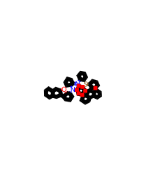 c1ccc(N(c2ccccc2)c2ccccc2N(c2ccc3c(c2)Sc2ccccc2C32c3ccccc3-c3ccccc32)c2cccc3c2oc2cc4ccccc4cc23)cc1